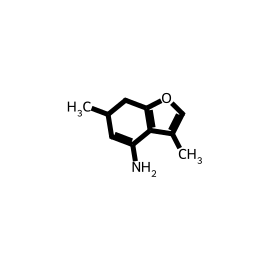 Cc1coc2c1C(N)=CC(C)C2